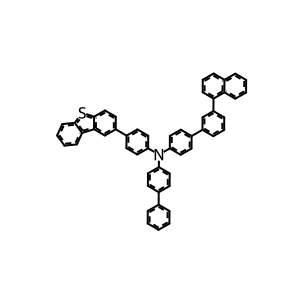 c1ccc(-c2ccc(N(c3ccc(-c4cccc(-c5cccc6ccccc56)c4)cc3)c3ccc(-c4ccc5sc6ccccc6c5c4)cc3)cc2)cc1